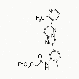 CCOC(=O)CC(=O)Nc1cc(-c2cn3nc(-c4cccnc4C(F)(F)F)ccc3n2)ccc1C